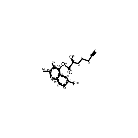 C#CCCCC(=O)C(=O)Oc1c(C)c(C)nc2ccc(F)cc12